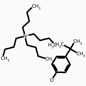 CC(C)(C)c1ccc([O-])cc1.CCCC[N+](CCCC)(CCCC)CCCC